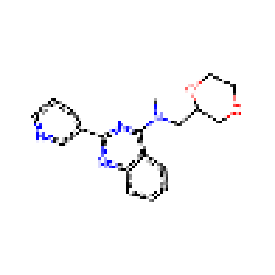 CN(CC1COCCO1)c1nc(-c2cccnc2)nc2ccccc12